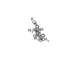 COc1cc(N2CCC(F)CC2)ccc1Nc1ncc(Cl)c(Nc2ccccc2P(C)(C)=O)n1